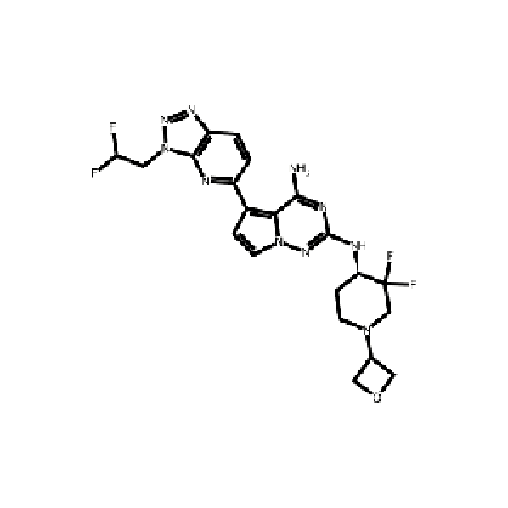 Nc1nc(N[C@@H]2CCN(C3COC3)CC2(F)F)nn2ccc(-c3ccc4nnn(CC(F)F)c4n3)c12